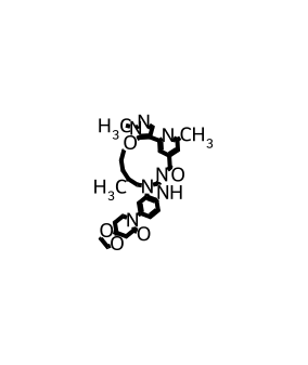 Cc1cc2cc(n1)-c1cnn(C)c1OCCC[C@@H](C)CN1/C(=N/C2=O)Nc2ccc(N3CCC4(CC3=O)OCCO4)cc21